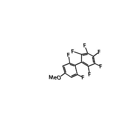 COc1cc(F)c(-c2c(F)c(F)c(F)c(F)c2F)c(F)c1